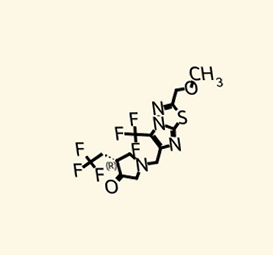 COCc1nn2c(C(F)(F)F)c(CN3CC(=O)[C@H](CC(F)(F)F)C3)nc2s1